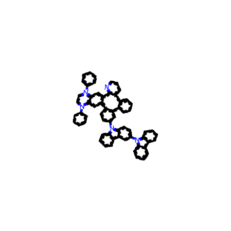 c1ccc(-n2ccn(-c3ccccc3)c3cc4c(cc32)c2ccc(-n3c5ccccc5c5cc(-n6c7ccccc7c7ccccc76)ccc53)cc2c2ccccc2c2cccnc24)cc1